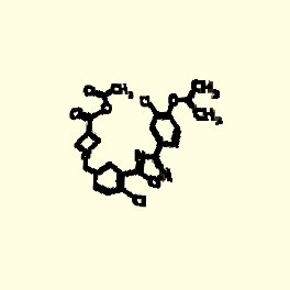 CC(=O)OC(=O)C1CN(Cc2ccc(Cl)c(-c3nc(-c4ccc(OC(C)C)c(Cl)c4)no3)c2)C1